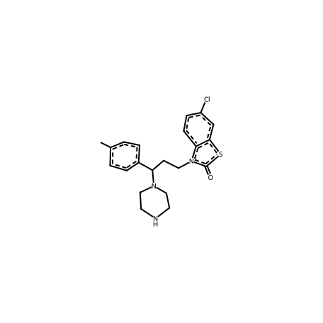 Cc1ccc(C(CCn2c(=O)sc3cc(Cl)ccc32)N2CCNCC2)cc1